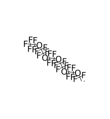 [CH2]C(F)(F)OC(F)(F)C(F)(F)OC(F)(F)C(F)(F)OC(F)(F)C(F)(F)OC(F)(F)C(F)(F)OC(F)(F)C(F)(F)F